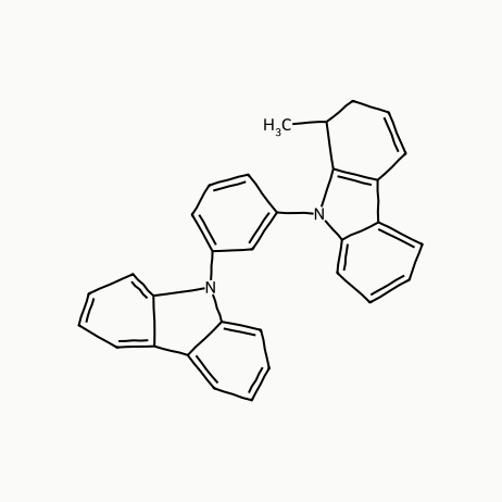 CC1CC=Cc2c1n(-c1cccc(-n3c4ccccc4c4ccccc43)c1)c1ccccc21